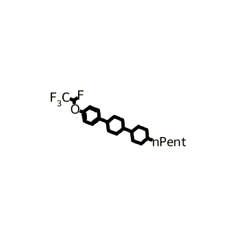 CCCCCC1CCC(C2CCC(c3ccc(OC(F)C(F)(F)F)cc3)CC2)CC1